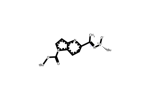 C/C(=N\[S@+]([O-])C(C)(C)C)c1ccc2c(ccn2C(=O)OC(C)(C)C)n1